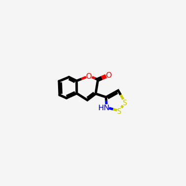 O=c1oc2ccccc2cc1C1=CSSN1